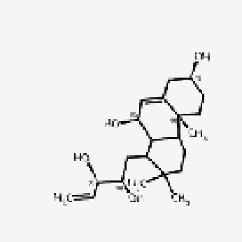 C=C[C@@H](O)[C@H](O)CC1C2C(CCC1(C)C)[C@@]1(C)CC[C@H](O)CC1=C[C@@H]2O